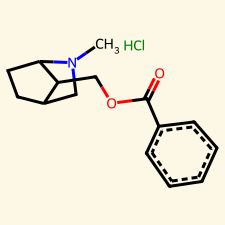 CN1CC2CCC1C2COC(=O)c1ccccc1.Cl